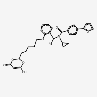 [2H]C(c1ccccc1OCCCCCC1OC(=O)C=C(O)O1)N(C(=O)c1ccc(-c2ccco2)cc1)C1CC1